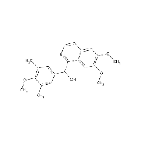 COc1cc2ccnc(C(O)c3cc(C)c(OC)c(C)c3)c2cc1OC